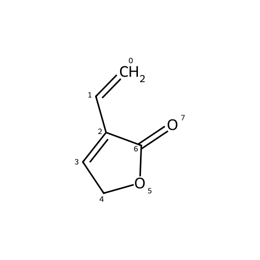 C=CC1=CCOC1=O